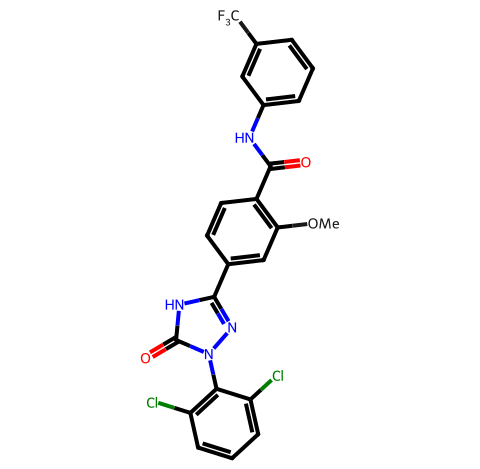 COc1cc(-c2nn(-c3c(Cl)cccc3Cl)c(=O)[nH]2)ccc1C(=O)Nc1cccc(C(F)(F)F)c1